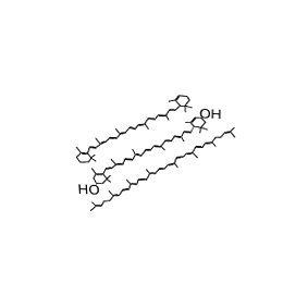 CC(C)=CCC/C(C)=C/C=C/C(C)=C/C=C/C(C)=C/C=C/C=C(C)/C=C/C=C(C)/C=C/C=C(\C)CCC=C(C)C.CC1=CCCC(C)(C)C1/C=C/C(C)=C/C=C/C(C)=C/C=C/C=C(C)/C=C/C=C(C)/C=C/C1=C(C)CCCC1(C)C.CC1=C[C@H](O)CC(C)(C)[C@H]1/C=C/C(C)=C/C=C/C(C)=C/C=C/C=C(C)/C=C/C=C(C)/C=C/C1=C(C)C[C@@H](O)CC1(C)C